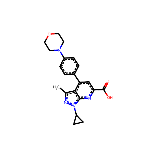 Cc1nn(C2CC2)c2nc(C(=O)O)cc(-c3ccc(N4CCOCC4)cc3)c12